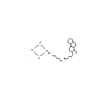 C[C@H](CCC(=O)N[C@@H](CCCCNC(=O)CN1CCN(CC(=O)O)CCN(CC(=O)O)CCN(CC(=O)O)CC1)C(=O)O)[C@H]1CC[C@H]2[C@@H]3[C@H](O)C[C@@H]4C[C@H](O)CC[C@]4(C)[C@H]3C[C@H](O)[C@]12C